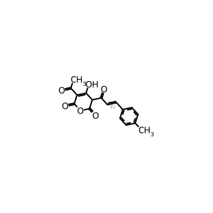 CC(=O)C1=C(O)C(C(=O)/C=C/c2ccc(C)cc2)C(=O)OC1=O